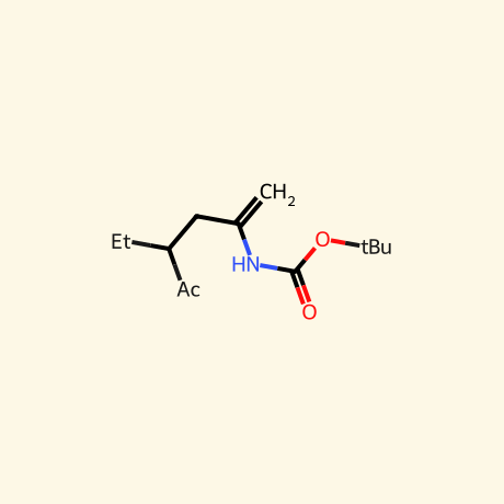 C=C(CC(CC)C(C)=O)NC(=O)OC(C)(C)C